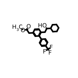 COC(=O)Cc1ccc(CC(O)C2CCCCC2)c(-c2ccc(C(F)(F)F)cc2)c1